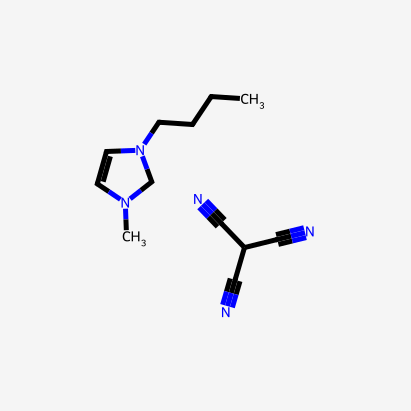 CCCCN1C=CN(C)C1.N#CC(C#N)C#N